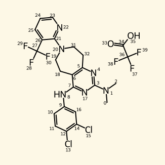 CN(C)c1nc2c(c(Nc3ccc(Cl)c(Cl)c3)n1)CCN(c1ncccc1C(F)(F)F)CC2.O=C(O)C(F)(F)F